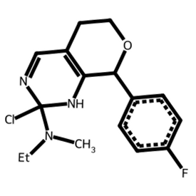 CCN(C)C1(Cl)N=CC2=C(N1)C(c1ccc(F)cc1)OCC2